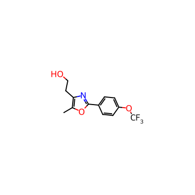 Cc1oc(-c2ccc(OC(F)(F)F)cc2)nc1CCO